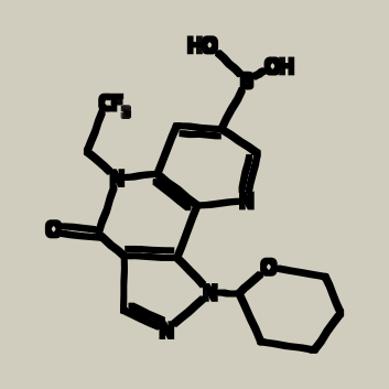 O=c1c2cnn(C3CCCCO3)c2c2ncc(B(O)O)cc2n1CC(F)(F)F